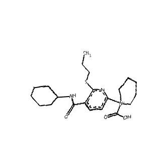 CCCSc1nc([N+]2(C(=O)O)CCCCC2)ccc1C(=O)NC1CCCCC1